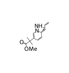 C=C/C=C1/C=CC(C(C)(C)C(=O)OC)=CN1N